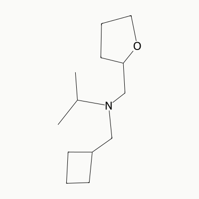 CC(C)N(CC1CCC1)CC1CCCO1